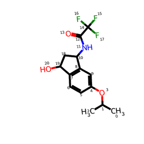 CC(C)Oc1ccc2c(c1)C(NC(=O)C(F)(F)F)CC2O